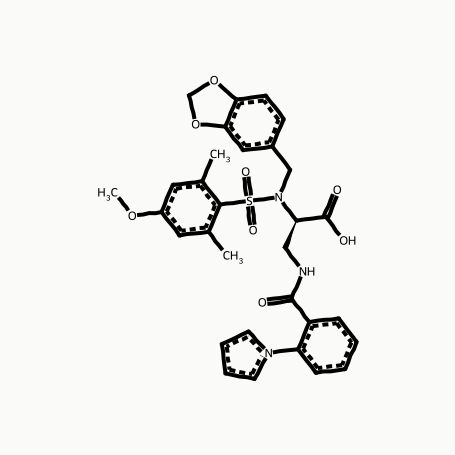 COc1cc(C)c(S(=O)(=O)N(Cc2ccc3c(c2)OCO3)[C@H](CNC(=O)c2ccccc2-n2cccc2)C(=O)O)c(C)c1